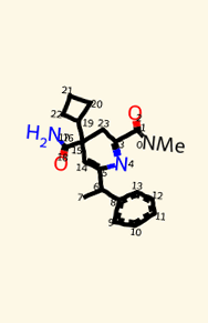 CNC(=O)C1=NC(C(C)c2ccccc2)=CC(C(N)=O)(C2CCC2)C1